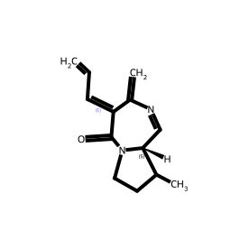 C=C/C=C1\C(=C)N=C[C@@H]2C(C)CCN2C1=O